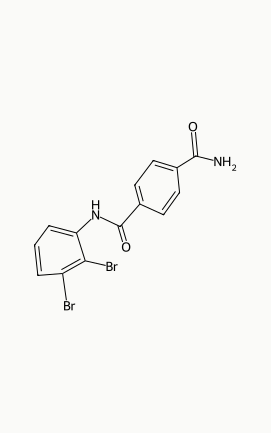 NC(=O)c1ccc(C(=O)Nc2cccc(Br)c2Br)cc1